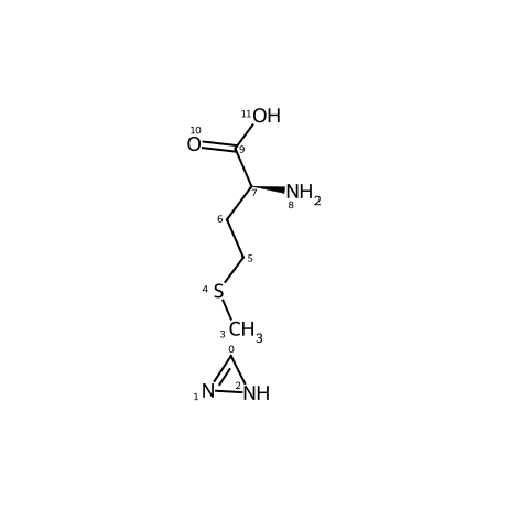 C1=NN1.CSCC[C@H](N)C(=O)O